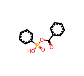 O=C(OP(=O)(O)c1ccccc1)c1ccccc1